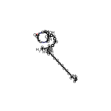 CC(=O)O[C@@H]1[C@H](C)C/C=C/O[C@@]2(C)Oc3c(C)c(O)c4c(=O)c(c5oc6cc(OC7CCN(C(=O)OCc8ccc(NC(=O)[C@H](CCCNC(N)=O)NC(=O)[C@@H](NC(=O)CCOCCOCCOCCOCCOCCOCCOCCOCCNC(=O)CCN9C(=O)C=CC9=O)C(C)C)cc8)CC7)ccc6nc-5c4c3C2=O)NC(=O)/C(C)=C\C=C\[C@H](C)C[C@@H](C)C[C@H]1C